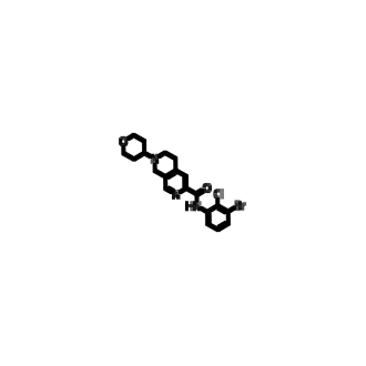 O=C(Nc1cccc(Br)c1Cl)c1cc2c(cn1)CN(C1CCOCC1)CC2